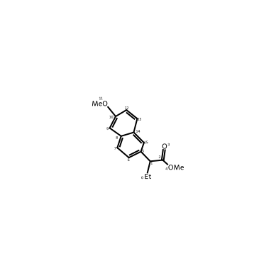 CCC(C(=O)OC)c1ccc2cc(OC)ccc2c1